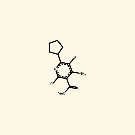 COC(=O)c1c(Cl)nc(C2CCCC2)c(Br)c1N